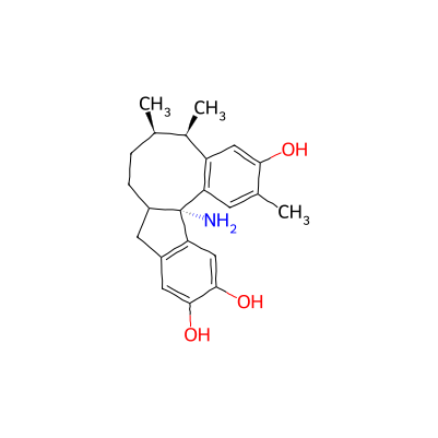 Cc1cc2c(cc1O)[C@H](C)[C@H](C)CCC1Cc3cc(O)c(O)cc3[C@]21N